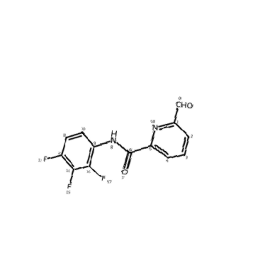 O=Cc1cccc(C(=O)Nc2ccc(F)c(F)c2F)n1